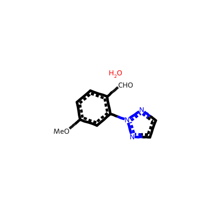 COc1ccc(C=O)c(-n2nccn2)c1.O